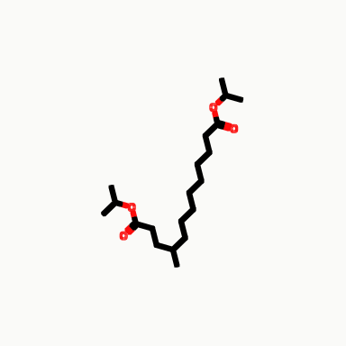 CC(CCCCCCCCC(=O)OC(C)C)CCC(=O)OC(C)C